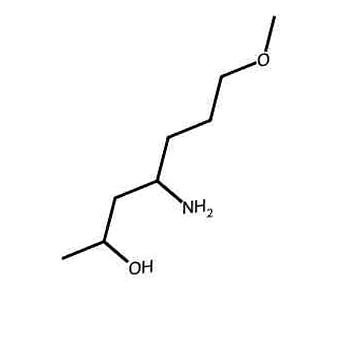 COCCCC(N)CC(C)O